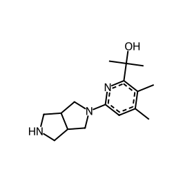 Cc1cc(N2CC3CNCC3C2)nc(C(C)(C)O)c1C